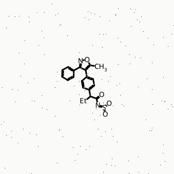 CCC(C(=O)N=S(=O)=O)c1ccc(-c2c(-c3ccccc3)noc2C)cc1